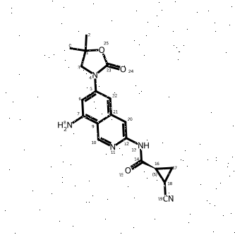 CC1(C)CN(c2cc(N)c3cnc(NC(=O)[C@H]4CC4C#N)cc3c2)C(=O)O1